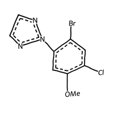 COc1cc(-n2nccn2)c(Br)cc1Cl